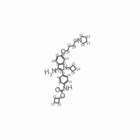 Nc1c(-c2ccc(NC(=O)OC3CCC3)cc2)n(C2CCC2)c2cc(OCCCCN3CCCC3)ccc12